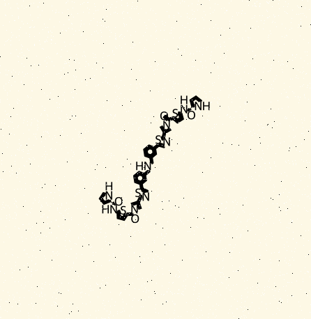 O=C(Nc1ccc(C(=O)N2CC(c3ncc(-c4cccc(CNCc5cccc(-c6cnc(C7CN(C(=O)c8ccc(NC(=O)[C@@H]9CCCN9)s8)C7)s6)c5)c4)s3)C2)s1)[C@@H]1CCCN1